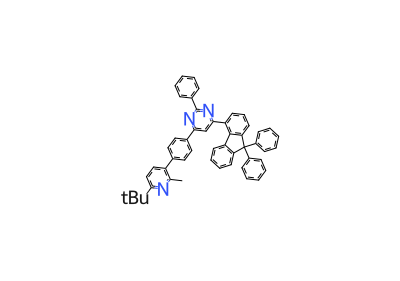 Cc1nc(C(C)(C)C)ccc1-c1ccc(-c2cc(-c3cccc4c3-c3ccccc3C4(c3ccccc3)c3ccccc3)nc(-c3ccccc3)n2)cc1